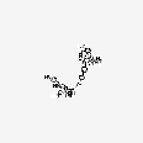 CC(C)(C)[C@H](NC(=O)COCCOc1ccc(-c2ccc(C(=O)N[C@H]3C(C)(C)[C@H](Oc4ccc(C#N)c(Cl)c4)C3(C)C)cc2)cc1)C(=O)N1C[C@H](O)C[C@H]1C(=O)NCc1ccc(C#N)cc1